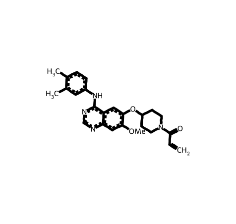 C=CC(=O)N1CCC(Oc2cc3c(Nc4ccc(C)c(C)c4)ncnc3cc2OC)CC1